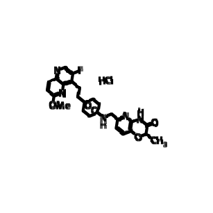 COc1ccc2ncc(F)c(CCC34CCC(NCc5ccc6c(n5)NC(=O)C(C)O6)(CC3)CO4)c2n1.Cl